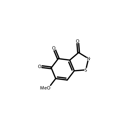 COC1=CC2=C(C(=O)[N]S2)C(=O)C1=O